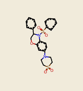 O=S1(=O)CCN(c2ccc3c(c2)OCC(c2ccccc2)N3S(=O)(=O)c2ccccc2)CC1